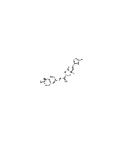 Cc1ccc(C2=CC3(C)CN(C(=O)/C=C/c4cnc5c(c4)CCC(=O)N5)CC3C2)s1